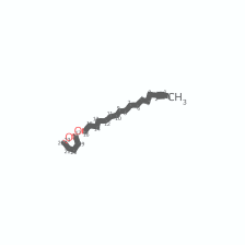 CC#CCCCCCCCCCCCCCCOC1CCCCO1